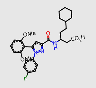 COc1cccc(OC)c1-c1cc(C(=O)N[C@@H](CCC2CCCCC2)CC(=O)O)nn1-c1ccc(F)cc1